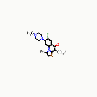 CCc1csc2c(C(=O)O)c(=O)c3cc(F)c(N4CCN(C)CC4)cc3n12